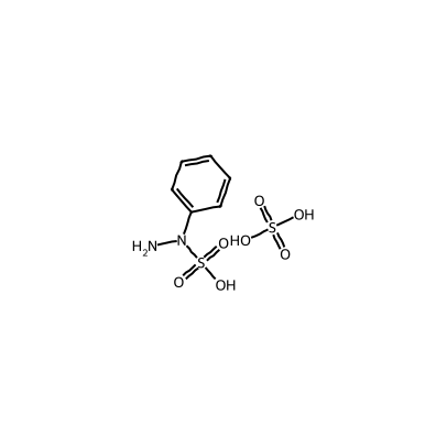 NN(c1ccccc1)S(=O)(=O)O.O=S(=O)(O)O